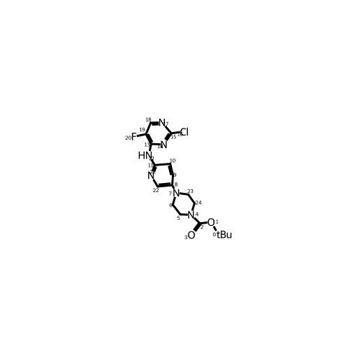 CC(C)(C)OC(=O)N1CCN(c2ccc(Nc3nc(Cl)ncc3F)nc2)CC1